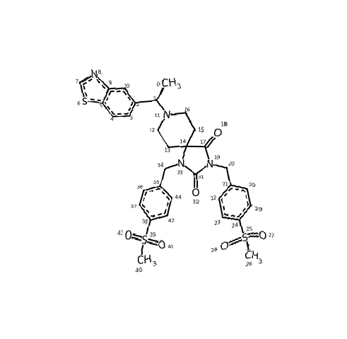 CC(c1ccc2scnc2c1)N1CCC2(CC1)C(=O)N(Cc1ccc(S(C)(=O)=O)cc1)C(=O)N2Cc1ccc(S(C)(=O)=O)cc1